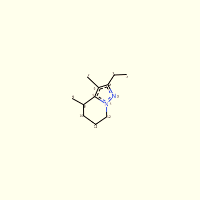 CCc1nn2c(c1C)C(C)CCC2